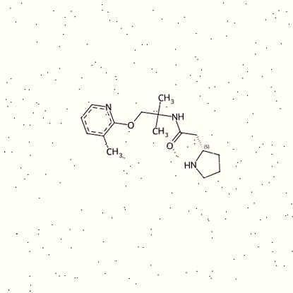 Cc1cccnc1OCC(C)(C)NC(=O)C[C@@H]1CCCN1